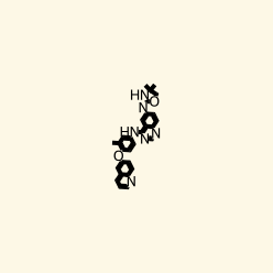 Cc1cc(Nc2ncnc3ccc(/N=C4/NC(C)(C)CO4)cc23)ccc1Oc1ccc2ncccc2c1